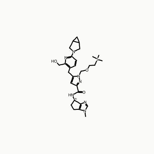 Cn1cnc2c1CC[C@H]2NC(=O)c1cc(Cc2ccc(N3CC4CC4C3)nc2CO)n(COCCS(C)(C)C)n1